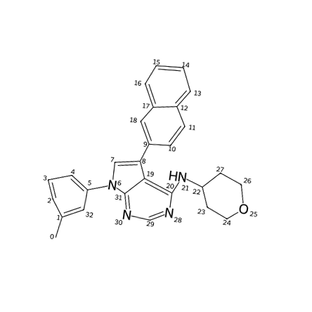 Cc1cccc(-n2cc(-c3ccc4ccccc4c3)c3c(NC4CCOCC4)ncnc32)c1